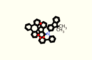 CC1(C)c2ccccc2-c2ccc(N(c3ccccc3-c3ccccc3)c3cccc4c3-c3ccccc3C43c4ccccc4C4C=CC=CC4c4ccccc43)cc21